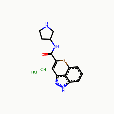 Cl.Cl.O=C(NC1CCNC1)C1=Cc2n[nH]c3cccc(c23)S1